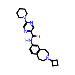 O=C(Nc1ccc2c(c1)CCN(C1CCC1)CC2)c1cnc(N2CCCCC2)cn1